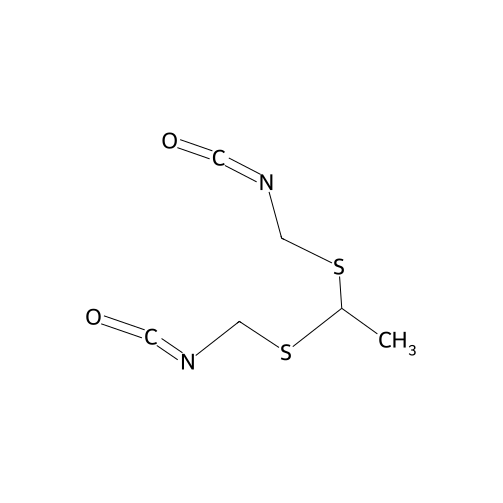 CC(SCN=C=O)SCN=C=O